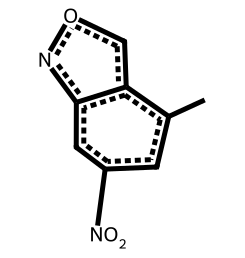 Cc1cc([N+](=O)[O-])cc2nocc12